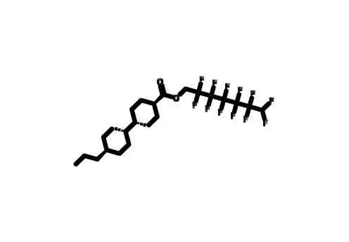 CCC[C@H]1CC[C@H]([C@H]2CC[C@H](C(=O)OCC(F)(F)C(F)(F)C(F)(F)C(F)(F)C(F)(F)C(F)F)CC2)CC1